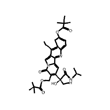 CCc1c2c(nc3c1cn1c(=O)c(COC(=O)C(C)(C)C)c([C@@](O)(CC)C(=O)NC(C)C)cc31)=CC=C(OC(=O)C(C)(C)C)C2